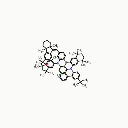 Cc1cc2c3c(c1)N(c1ccc(C(C)(C)C)cc1-c1ccccc1)c1cc4c(cc1B3c1ccc(/C=C3\c5ccc(C(C)(C)C)cc5C5(C)CCCCC35C)cc1N2c1cc2c(cc1C)C(C)(C)CC2(C)C)C(C)(C)CCC4(C)C